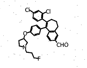 O=Cc1ccc2c(c1)CCCC(c1ccc(Cl)cc1Cl)=C2c1ccc(OC2CCN(CCCF)C2)cc1